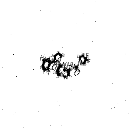 C[C@]1(c2cc(F)ccc2F)CCCN1c1ccn2ncc(NC(=O)N3CCC(F)(F)C3)c2n1